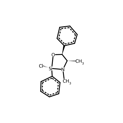 C[C@H]1[C@H](c2ccccc2)O[Si@](Cl)(c2ccccc2)N1C